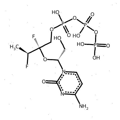 C[C@H](F)[C@@](F)(COP(=O)(O)OP(=O)(O)OP(=O)(O)O)O[C@H](CO)n1ccc(N)nc1=O